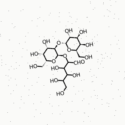 O=CC(O[C@H]1O[C@H](CO)[C@H](O)[C@H](O)[C@H]1O[C@H]1O[C@H](CO)[C@H](O)[C@H](O)[C@H]1O)C(O)C(O)C(O)CO